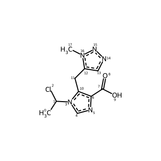 CC(Cl)n1cnc(C(=O)O)c1Cc1cnnn1C